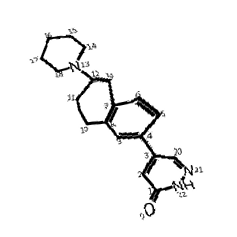 O=c1cc(-c2ccc3c(c2)CCC(N2CCCCC2)C3)cn[nH]1